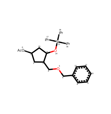 CC(=O)OC1CC(COCc2ccccc2)C(O[Si](C(C)C)(C(C)C)C(C)C)C1